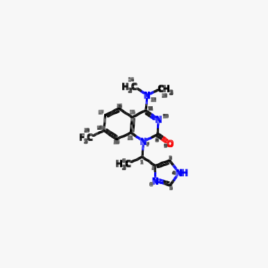 CC(c1c[nH]cn1)n1c(=O)nc(N(C)C)c2ccc(C(F)(F)F)cc21